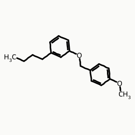 CCCCc1cccc(OCc2ccc(OC)cc2)c1